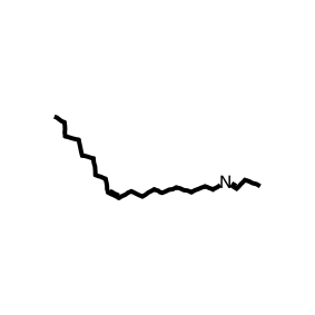 CCC=NCCCCCCCC/C=C\CCCCCCCC